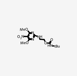 COc1nc(NCCOC(=O)NC(C)(C)C)nc(OC)c1[N+](=O)[O-]